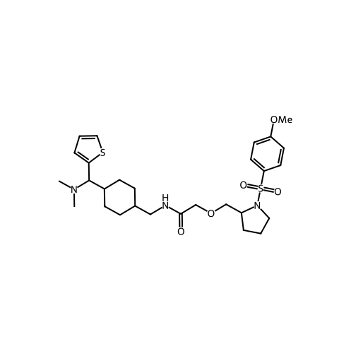 COc1ccc(S(=O)(=O)N2CCCC2COCC(=O)NCC2CCC(C(c3cccs3)N(C)C)CC2)cc1